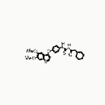 COc1cc2nccc(Oc3ccc(NC(=S)NC(=O)CC4CCCCC4)cc3)c2cc1OC